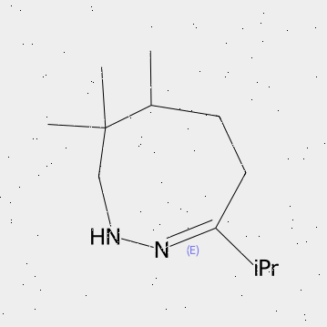 CC(C)/C1=N/NCC(C)(C)C(C)CC1